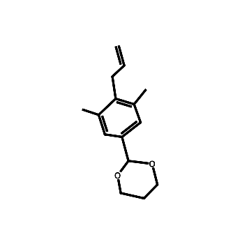 C=CCc1c(C)cc(C2OCCCO2)cc1C